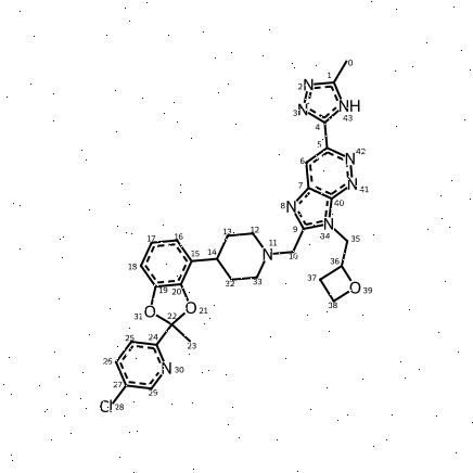 Cc1nnc(-c2cc3nc(CN4CCC(c5cccc6c5OC(C)(c5ccc(Cl)cn5)O6)CC4)n(CC4CCO4)c3nn2)[nH]1